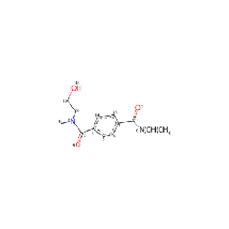 CN(O)C(=O)c1ccc(C(=O)N(C)CCO)cc1